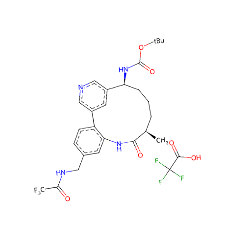 C[C@@H]1CCC[C@H](NC(=O)OC(C)(C)C)c2cncc(c2)-c2ccc(CNC(=O)C(F)(F)F)cc2NC1=O.O=C(O)C(F)(F)F